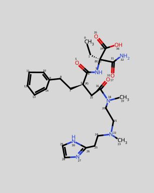 CC[C@@](NC(=O)[C@H](CCc1ccccc1)CC(=O)N(C)CCN(C)CCc1ncc[nH]1)(C(N)=O)C(=O)O